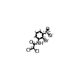 O=C(Nc1[c]ccc([N+](=O)[O-])c1Br)C(Cl)Cl